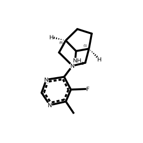 Cc1ncnc(N2C[C@H]3CC[C@@H](C2)C3N)c1F